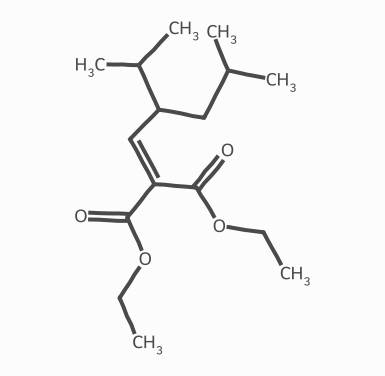 CCOC(=O)C(=CC(CC(C)C)C(C)C)C(=O)OCC